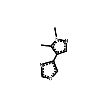 Cc1c(-c2cocn2)cnn1C